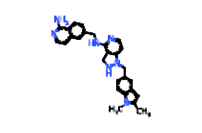 Cc1cc2cc(CN3NCc4c3ccnc4NCc3ccc4c(N)nccc4c3)ccc2n1C